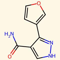 NC(=O)c1c[nH]nc1-c1ccoc1